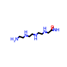 NCCNCCNCCNCC1NO1